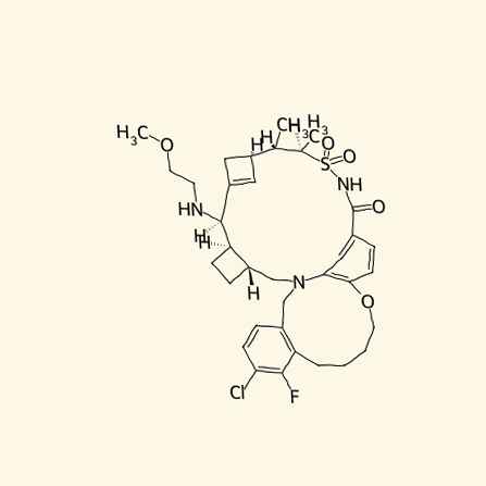 COCCN[C@H]1C2=C[C@@H](C2)[C@H](C)[C@@H](C)S(=O)(=O)NC(=O)c2ccc3c(c2)N(Cc2ccc(Cl)c(F)c2CCCCO3)C[C@@H]2CC[C@H]21